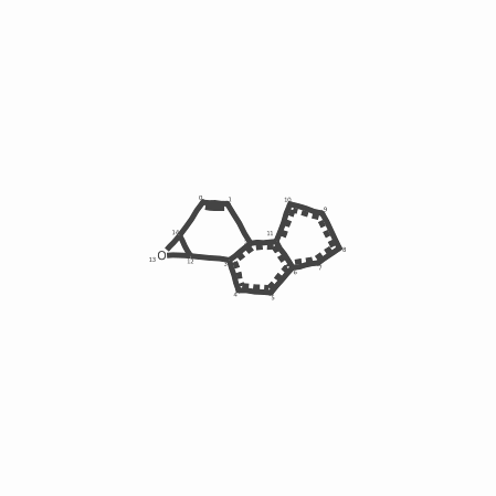 [C]1=Cc2c(ccc3ccccc23)C2OC12